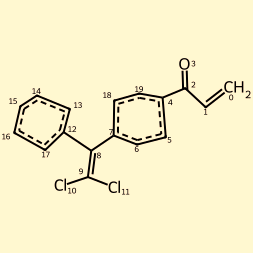 C=CC(=O)c1ccc(C(=C(Cl)Cl)c2ccccc2)cc1